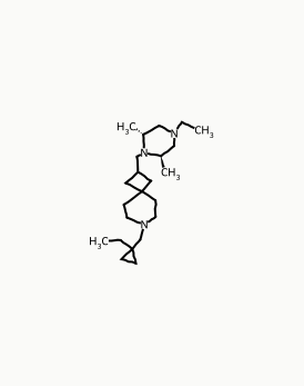 CCN1C[C@@H](C)N(CC2CC3(CCN(CC4(CC)CC4)CC3)C2)[C@H](C)C1